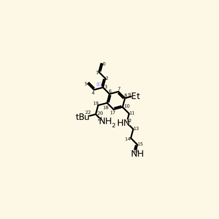 C=C/C=C(\C=C)c1cc(CC)c(CNCCC=N)cc1CC(N)C(C)(C)C